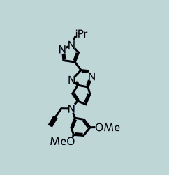 C#CCN(c1cc(OC)cc(OC)c1)c1ccc2ncc(-c3cnn(C(C)C)c3)nc2c1